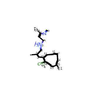 C=NC(=CCNCC(C)CC1CCC/C=C(CC)\C=C/1Cl)CC